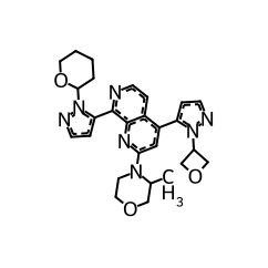 CC1COCCN1c1cc(-c2ccnn2C2COC2)c2ccnc(-c3ccnn3C3CCCCO3)c2n1